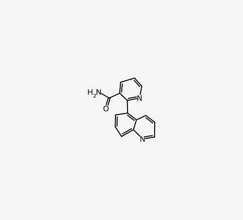 NC(=O)c1cccnc1-c1cccc2ncccc12